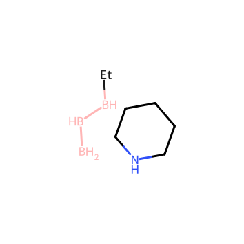 BBBCC.C1CCNCC1